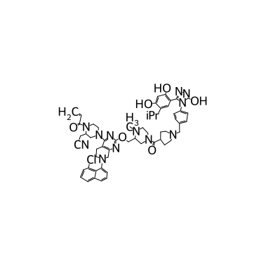 C=CC(=O)N1CCN(c2nc(OCC3CN(C(=O)C4CCN(Cc5ccc(-n6c(O)nnc6-c6cc(C(C)C)c(O)cc6O)cc5)CC4)CCN3C)nc3c2CCN(c2cccc4cccc(Cl)c24)C3)CC1CC#N